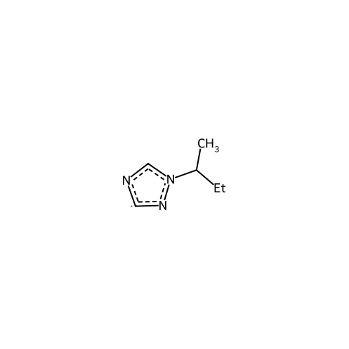 CCC(C)n1cn[c]n1